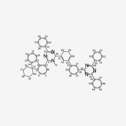 CN1C(c2cccc3c2-c2ccccc2C32CCCCC2)=NC(c2ccccc2)=NC1C1=CC(c2cccc(-c3nc(-c4ccccc4)nc(-c4ccccc4)n3)c2)=CCC1